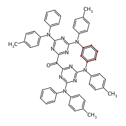 Cc1ccc(N(c2ccccc2)c2nc(C(=O)c3nc(N(c4ccccc4)c4ccc(C)cc4)nc(N(c4ccccc4)c4ccc(C)cc4)n3)nc(N(c3ccccc3)c3ccc(C)cc3)n2)cc1